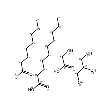 CCCCCCCC(=O)O.CCCCCCCCCC(=O)O.O=C(O)CO.OCC(O)CO